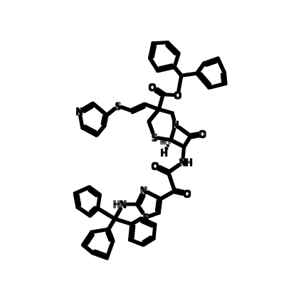 O=C(NC1C(=O)N2CC(C=CSc3cccnc3)(C(=O)OC(c3ccccc3)c3ccccc3)CS[C@H]12)C(=O)c1csc(NC(c2ccccc2)(c2ccccc2)c2ccccc2)n1